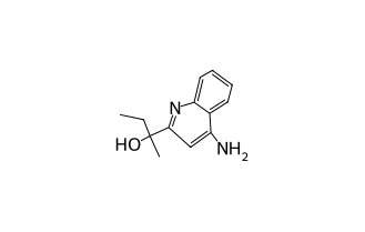 CCC(C)(O)c1cc(N)c2ccccc2n1